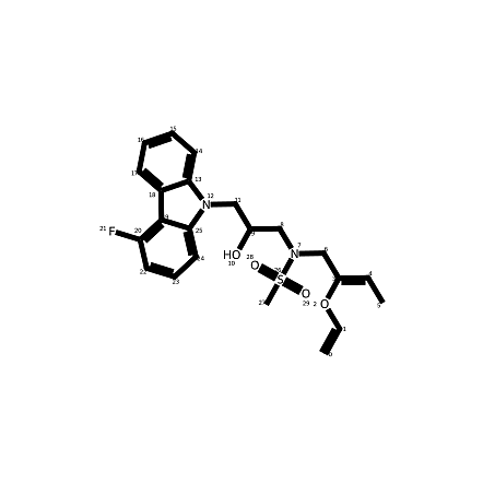 C=CO/C(=C\C)CN(CC(O)Cn1c2ccccc2c2c(F)cccc21)S(C)(=O)=O